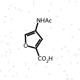 CC(=O)Nc1coc(C(=O)O)c1